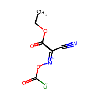 CCOC(=O)/C(C#N)=N\OC(=O)Cl